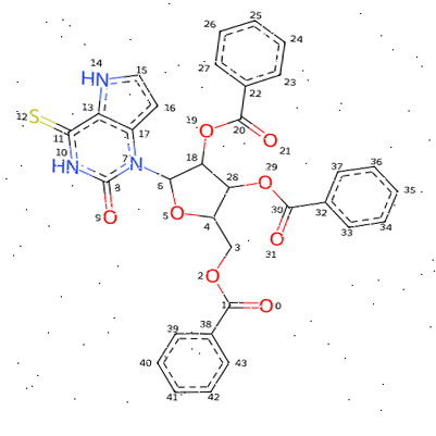 O=C(OCC1OC(n2c(=O)[nH]c(=S)c3[nH]ccc32)C(OC(=O)c2ccccc2)C1OC(=O)c1ccccc1)c1ccccc1